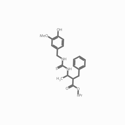 CCCOC(=O)C(Cc1ccccc1)C(C)NC(=S)NCc1ccc(O)c(OC)c1